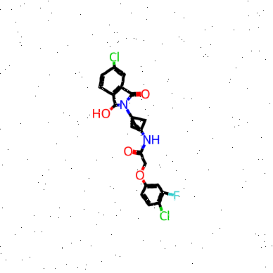 O=C(COc1ccc(Cl)c(F)c1)NC12CC(N3C(=O)c4cc(Cl)ccc4C3O)(C1)C2